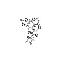 O=c1ccoc2c3c(cc(NS(=O)(=O)c4cccs4)c12)OCO3